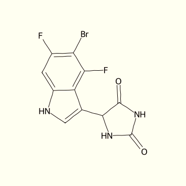 O=C1NC(=O)C(c2c[nH]c3cc(F)c(Br)c(F)c23)N1